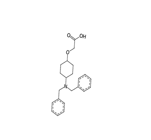 O=C(O)COC1CCC(N(Cc2ccccc2)Cc2ccccc2)CC1